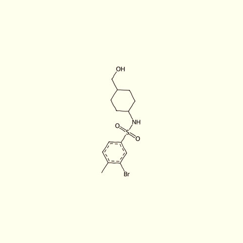 Cc1ccc(S(=O)(=O)NC2CCC(CO)CC2)cc1Br